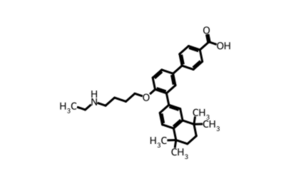 CCNCCCCOc1ccc(-c2ccc(C(=O)O)cc2)cc1-c1ccc2c(c1)C(C)(C)CCC2(C)C